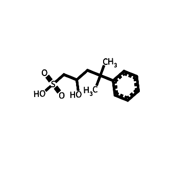 CC(C)(CC(O)CS(=O)(=O)O)c1ccccc1